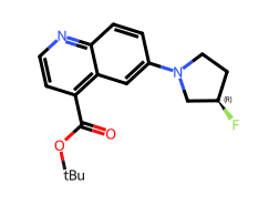 CC(C)(C)OC(=O)c1ccnc2ccc(N3CC[C@@H](F)C3)cc12